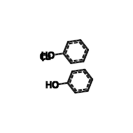 Oc1ccccc1.Oc1ccccc1.[Cu]